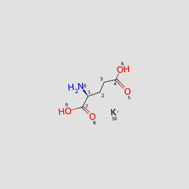 N[C@@H](CCC(=O)O)C(=O)O.[K]